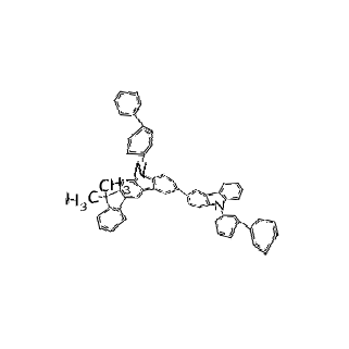 CC1(C)c2ccccc2-c2cc3c4cc(-c5ccc6c(c5)c5ccccc5n6-c5cccc(-c6ccccc6)c5)ccc4n(-c4ccc(-c5ccccc5)cc4)c3cc21